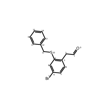 O=CCc1ccc(Br)cc1SCc1ccccc1